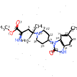 COC(=O)C(=N)CC(C)(C)N1CCC(n2c(=O)[nH]c3ccc(C)cc32)CC1